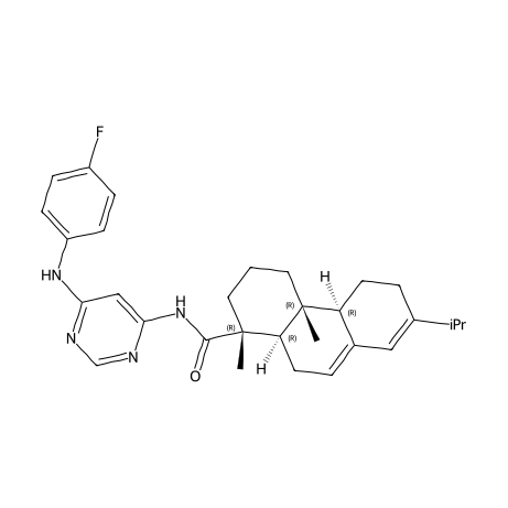 CC(C)C1=CC2=CC[C@@H]3[C@](C)(CCC[C@@]3(C)C(=O)Nc3cc(Nc4ccc(F)cc4)ncn3)[C@H]2CC1